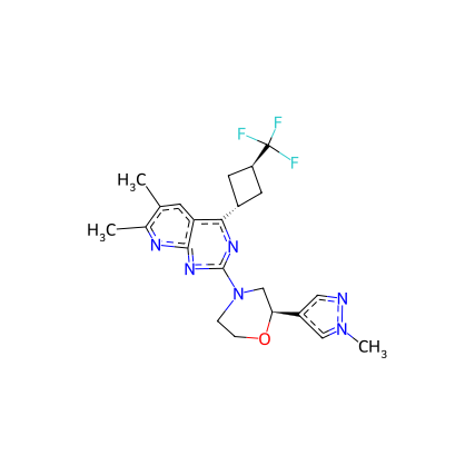 Cc1cc2c(nc(N3CCO[C@H](c4cnn(C)c4)C3)nc2[C@H]2C[C@H](C(F)(F)F)C2)nc1C